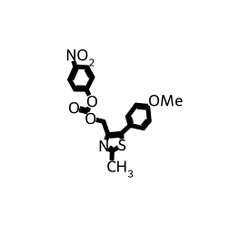 COc1ccc(-c2sc(C)nc2COC(=O)Oc2ccc([N+](=O)[O-])cc2)cc1